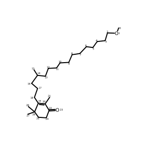 COCCCCCCCCCCCCC(C)CCCC1=C(C)C(=O)CCC1(C)C